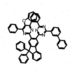 c1ccc(-c2cccc(-c3nc(-c4ccccc4)nc(-c4cc5c(cc4-c4nc(-c6ccccc6)c6oc7ccccc7c6n4)C(c4ccccc4)(c4ccccc4)c4ccccc4-5)n3)c2)cc1